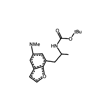 CNc1cc(CC(C)NC(=O)OC(C)(C)C)c2occc2c1